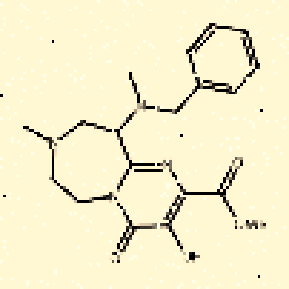 COC(=O)c1nc2n(c(=O)c1O)CCN(C)CC2N(C)Cc1ccccc1